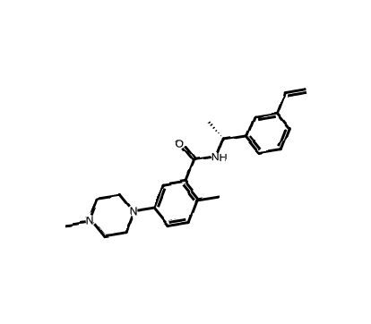 C=Cc1cccc([C@@H](C)NC(=O)c2cc(N3CCN(C)CC3)ccc2C)c1